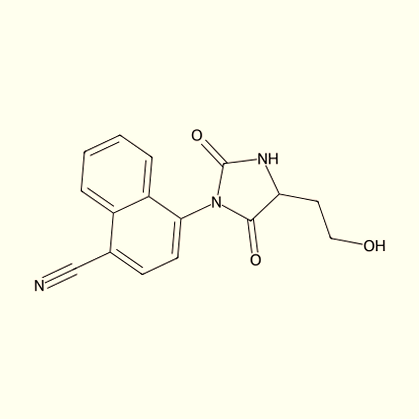 N#Cc1ccc(N2C(=O)NC(CCO)C2=O)c2ccccc12